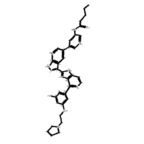 CCCCC(=O)Nc1cncc(-c2cnc3[nH]nc(-c4nc5c(-c6cc(F)cc(OCCN7CCCC7)c6)nccc5[nH]4)c3c2)c1